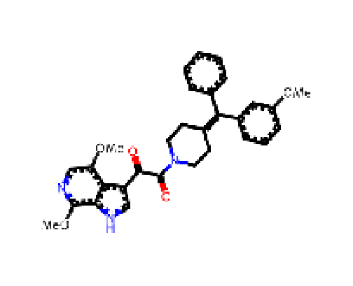 COc1cccc(C(=C2CCN(C(=O)C(=O)c3c[nH]c4c(OC)ncc(OC)c34)CC2)c2ccccc2)c1